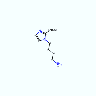 CNc1nccn1CCCCN